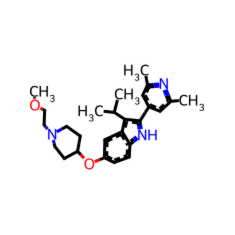 COCCN1CCC(Oc2ccc3[nH]c(-c4cc(C)nc(C)c4)c(C(C)C)c3c2)CC1